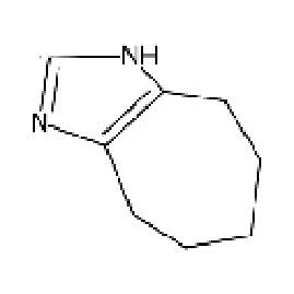 [c]1nc2c([nH]1)CCCCC2